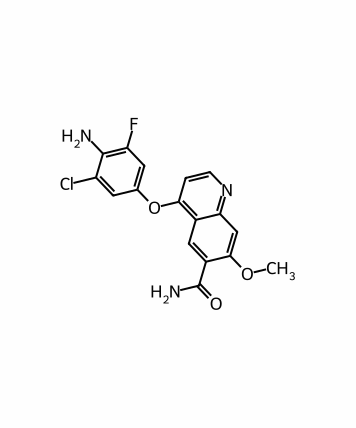 COc1cc2nccc(Oc3cc(F)c(N)c(Cl)c3)c2cc1C(N)=O